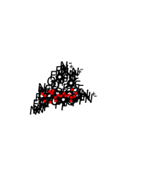 [N-]=[N+]=Nc1c(F)c(F)c(C(=O)OCC(COCC(COC(=O)c2c(F)c(F)c(N=[N+]=[N-])c(F)c2F)(COC(=O)c2c(F)c(F)c(N=[N+]=[N-])c(F)c2F)COC(=O)c2c(F)c(F)c(N=[N+]=[N-])c(F)c2F)(COC(=O)c2c(F)c(F)c(N=[N+]=[N-])c(F)c2F)COC(=O)c2c(F)c(F)c(N=[N+]=[N-])c(F)c2F)c(F)c1F